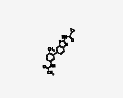 CC(=O)Nc1ccc(C)c(-c2ccc3nc(NC(=O)C4CC4)sc3c2)c1